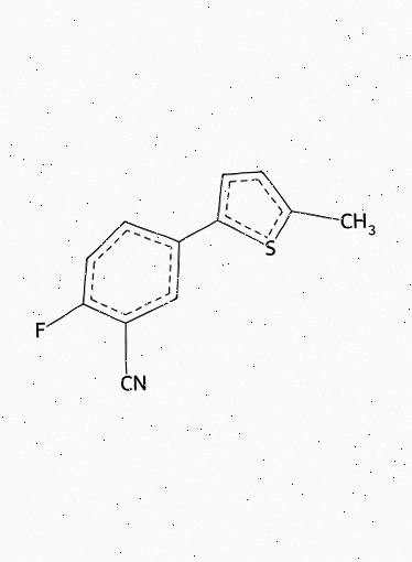 Cc1ccc(-c2ccc(F)c(C#N)c2)s1